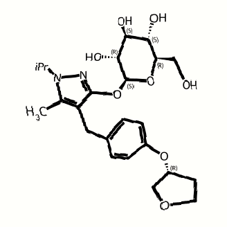 Cc1c(Cc2ccc(O[C@@H]3CCOC3)cc2)c(O[C@@H]2O[C@H](CO)[C@@H](O)[C@H](O)[C@H]2O)nn1C(C)C